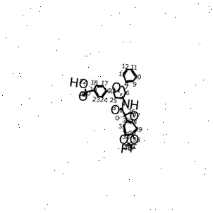 C[C@]1(C(=O)N[C@H]2C[C@@H](c3ccccc3)O[C@@H](c3ccc(C(=O)O)cc3)C2)COc2cc3c(cc21)OC(F)(F)O3